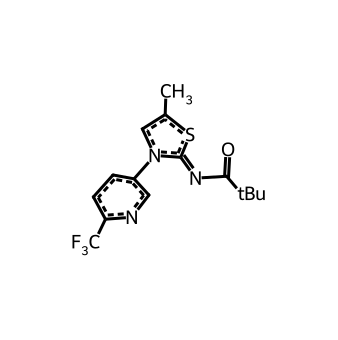 Cc1cn(-c2ccc(C(F)(F)F)nc2)c(=NC(=O)C(C)(C)C)s1